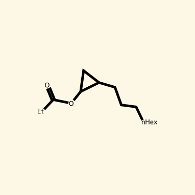 CCCCCCCCCC1CC1OC(=O)CC